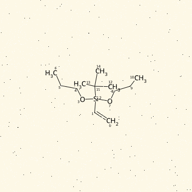 C=C[Si](OCCC)(OCCC)C(C)(C)C